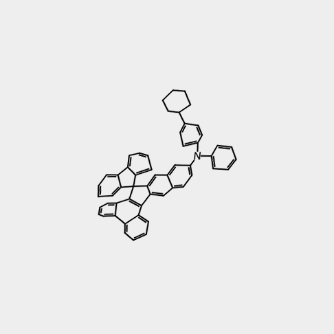 c1ccc(N(c2ccc(C3CCCCC3)cc2)c2ccc3cc4c(cc3c2)C2(c3ccccc3-c3ccccc32)c2c-4c3ccccc3c3ccccc23)cc1